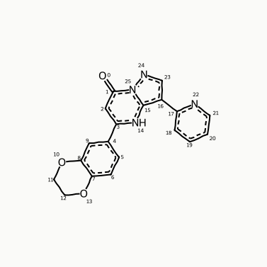 O=c1cc(-c2ccc3c(c2)OCCO3)[nH]c2c(-c3ccccn3)cnn12